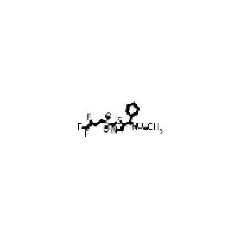 CCO/N=C(\c1ccccc1)c1cnc(S(=O)(=O)CCC(F)=C(F)F)s1